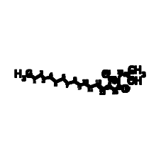 CCCCCCCCCCCCC=CC1CC(=O)N(CC(C)O)C1=O